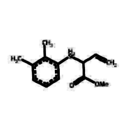 C=CC([SiH2]c1cccc(C)c1C)C(=O)OC